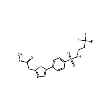 COC(=O)Cc1ncc(-c2ccc(S(=O)(=O)NCCC(F)(F)F)cc2)s1